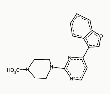 O=C(O)N1CCN(c2nccc(-c3coc4ccccc34)n2)CC1